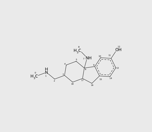 CNCC1CCC2(NC)c3cc(O)ccc3CC2C1